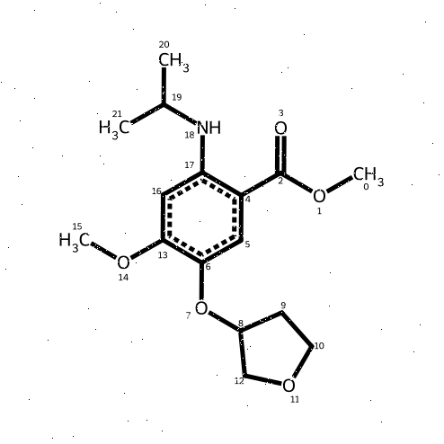 COC(=O)c1cc(OC2CCOC2)c(OC)cc1NC(C)C